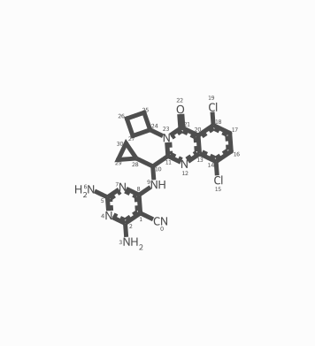 N#Cc1c(N)nc(N)nc1NC(c1nc2c(Cl)ccc(Cl)c2c(=O)n1C1CCC1)C1CC1